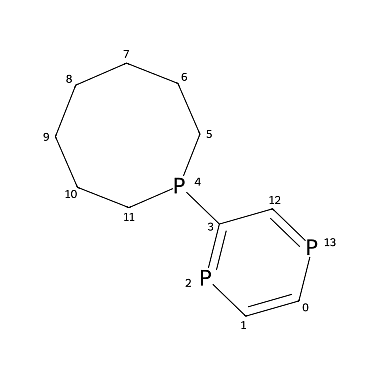 c1cpc(P2CCCCCCC2)cp1